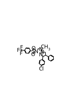 CN(C=NS(=O)(=O)c1ccc(C(F)(F)F)cc1)N1CC(c2ccccc2)C(c2ccc(Cl)cc2)=N1